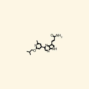 Cc1cc(-c2cnc3[nH]cc(/C=C/C(N)=O)c3n2)cc(OCC(C)C)n1